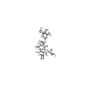 COc1cc(CNC2=C(C)C(=O)C3=C(C2=O)C(COC(N)=O)C2(OC)C4NC4CN32)cc(OC)c1OC